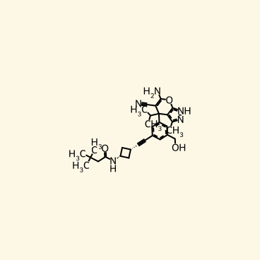 Cc1n[nH]c2c1C(c1cc(C#C[C@H]3C[C@@H](NC(=O)CC(C)(C)C)C3)cc(CO)c1)(C(C)C)C(C#N)=C(N)O2